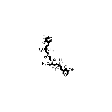 C=CC(CCC(C)(C)CCc1cocc(O)c1=O)[S+]([O-])CC[S+]([O-])CCC(C)(C)CCc1cocc(O)c1=O